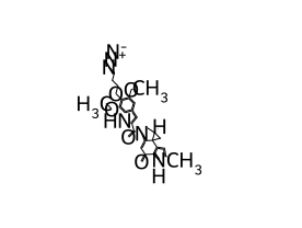 COc1cc2cc(C(=O)N3C[C@H]4CC45C3=CC(=O)c3[nH]c(C)cc35)[nH]c2c(OC)c1OCCCN=[N+]=[N-]